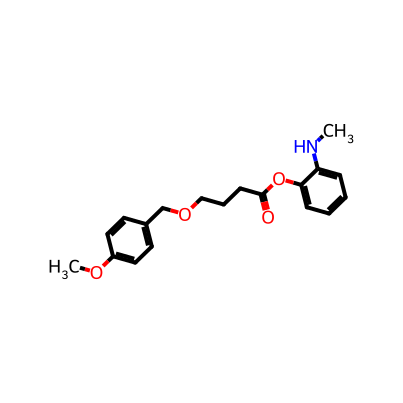 CNc1ccccc1OC(=O)CCCOCc1ccc(OC)cc1